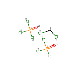 ClCCl.O=P(Cl)(Cl)Cl.O=P(Cl)(Cl)Cl